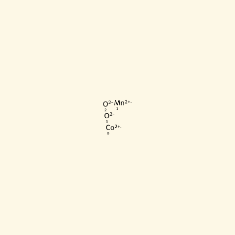 [Co+2].[Mn+2].[O-2].[O-2]